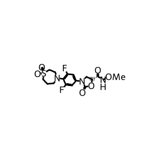 CONC(=O)[C@H]1CN(c2cc(F)c(N3CCCS(=O)(=O)CC3)c(F)c2)C(=O)O1